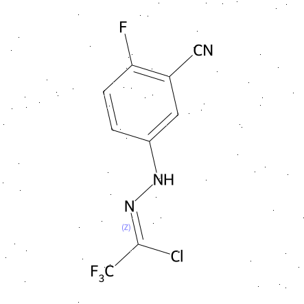 N#Cc1cc(N/N=C(\Cl)C(F)(F)F)ccc1F